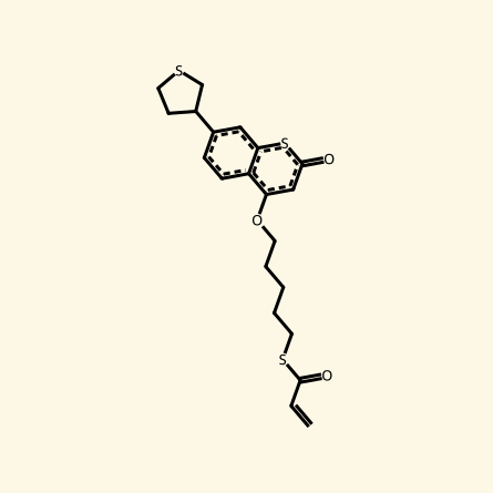 C=CC(=O)SCCCCCOc1cc(=O)sc2cc(C3CCSC3)ccc12